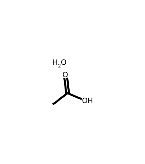 CC(=O)O.O